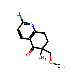 COCC1(C)CCc2nc(Cl)ccc2C1=O